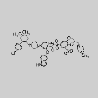 CN1CCN(C[C@@H]2COc3cc(S(=O)(=O)NC(=O)c4ccc(N5CCN(CC6=C(c7ccc(Cl)cc7)CC(C)(C)CC6)CC5)cc4Oc4cnc5[nH]ccc5c4)cc([N+](=O)[O-])c3O2)CC1